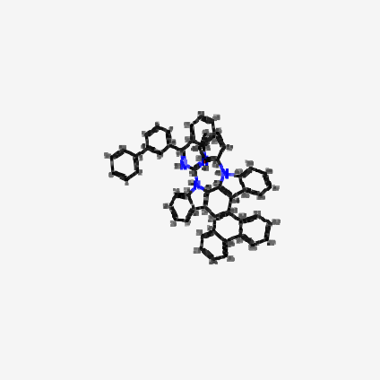 c1ccc(-c2cccc(-c3nc(-n4c5ccccc5c5c6c7ccccc7c7ccccc7c6c6c7ccccc7n(-c7ccccc7)c6c54)nc4ccccc34)c2)cc1